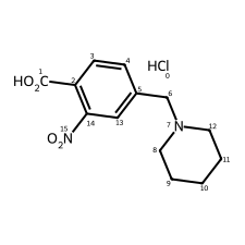 Cl.O=C(O)c1ccc(CN2CCCCC2)cc1[N+](=O)[O-]